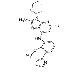 COc1c(Nc2cc(Cl)nc3c2nc(C)n3C2CCCCO2)cccc1-c1nccs1